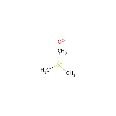 C[S+](C)C.[O-2]